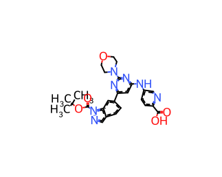 CC(C)(C)OC(=O)n1ncc2ccc(-c3cc(Nc4ccc(C(=O)O)nc4)nc(N4CCOCC4)n3)cc21